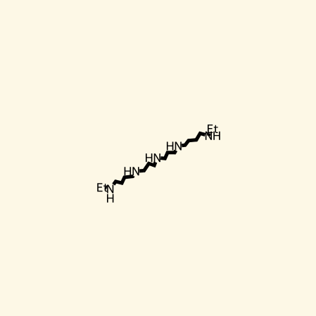 CCNCCCCNCCCNCCCNCCCCNCC